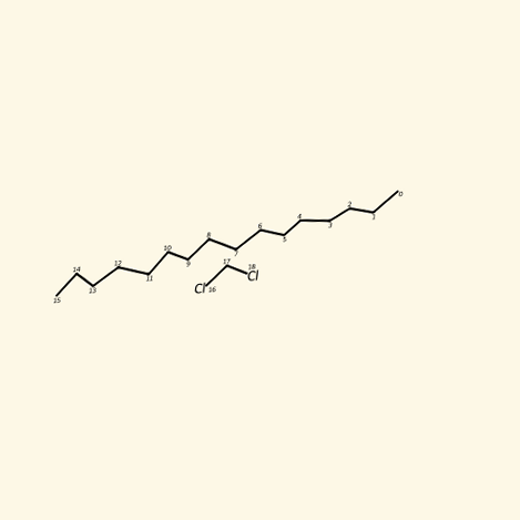 CCCCCCCCCCCCCCCC.ClCCl